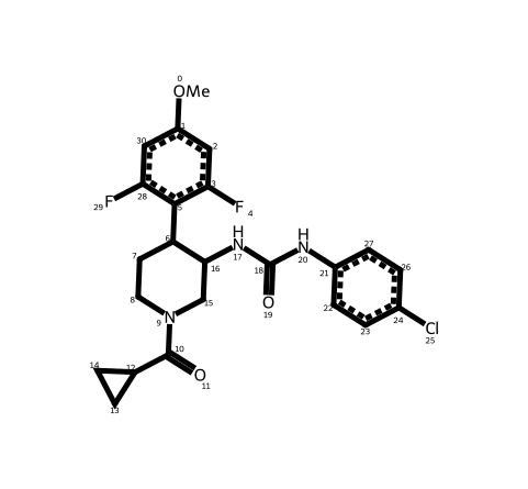 COc1cc(F)c(C2CCN(C(=O)C3CC3)CC2NC(=O)Nc2ccc(Cl)cc2)c(F)c1